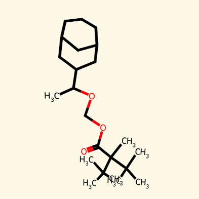 CC(OCOC(=O)C(C)(C(C)(C)C)C(C)(C)C)C1CC2CCCC(C2)C1